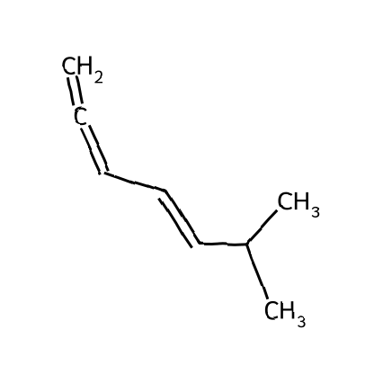 C=C=C/C=C/C(C)C